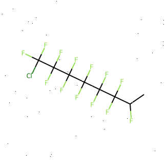 CC(F)C(F)(F)C(F)(F)C(F)(F)C(F)(F)C(F)(F)C(F)(F)Cl